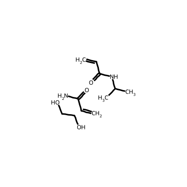 C=CC(=O)NC(C)C.C=CC(N)=O.OCCO